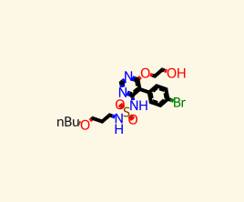 CCCCOCCCNS(=O)(=O)Nc1ncnc(OCCO)c1-c1ccc(Br)cc1